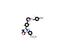 N#Cc1ccc(COc2cccc(-c3cc(F)c(Cc4nc5ccc(C(=O)O)cc5n4[C@@H]4COCC45CC5)cc3F)n2)c(F)c1